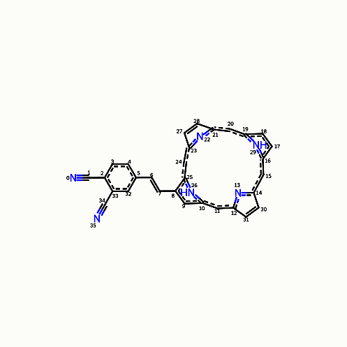 N#Cc1ccc(C=Cc2cc3cc4nc(cc5ccc(cc6nc(cc2[nH]3)C=C6)[nH]5)C=C4)cc1C#N